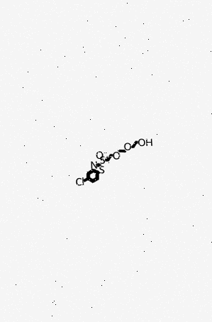 [O-][S+](CCOCCOCCO)c1nc2cc(Cl)ccc2s1